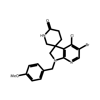 COc1ccc(CN2CC3(CCC(=O)NC3)c3c2ncc(Br)c3Cl)cc1